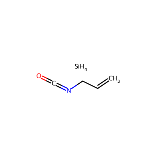 C=CCN=C=O.[SiH4]